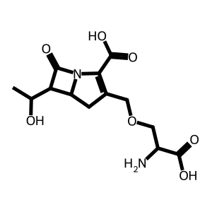 CC(O)C1C(=O)N2C(C(=O)O)=C(COCC(N)C(=O)O)CC12